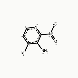 Nc1c(Br)ccnc1[N+](=O)[O-]